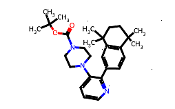 CC(C)(C)OC(=O)N1CCN(c2cccnc2-c2ccc3c(c2)C(C)(C)CCC3(C)C)CC1